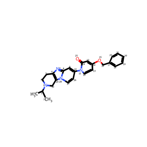 CC(C)N1CCc2nc3cc(-n4ccc(OCc5ccccc5)cc4=O)ccn3c2C1